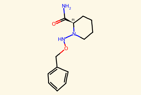 NC(=O)[C@H]1CCCCN1NOCc1ccccc1